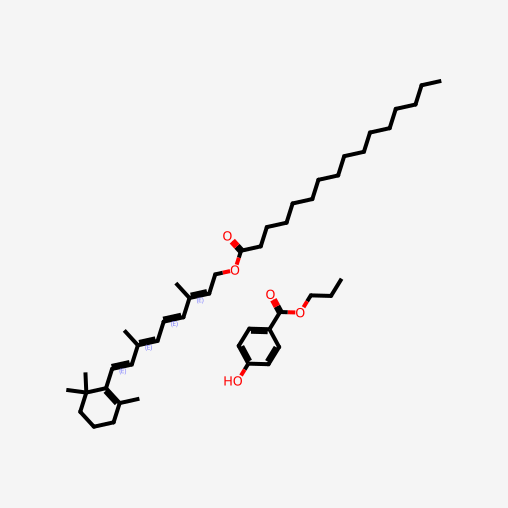 CCCCCCCCCCCCCCCC(=O)OC/C=C(C)/C=C/C=C(C)/C=C/C1=C(C)CCCC1(C)C.CCCOC(=O)c1ccc(O)cc1